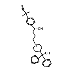 CC(C)(C#N)c1ccc([C@H](O)CCCN2CCC(C(O)(c3ccccc3)c3ccccc3)CC2)cc1